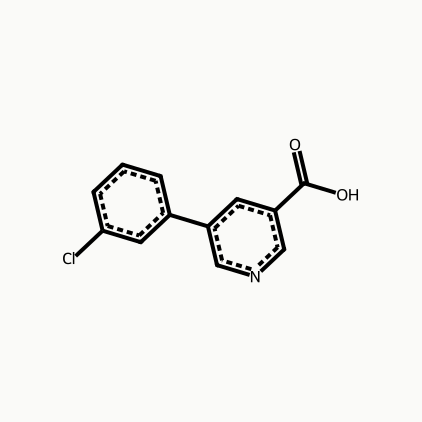 O=C(O)c1cncc(-c2cccc(Cl)c2)c1